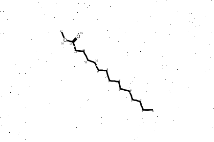 CCCCCCCCCCCCC[CH]C(=O)OC